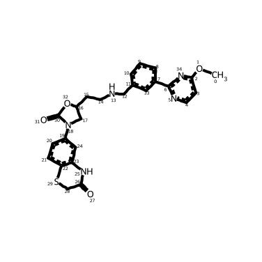 COc1ccnc(-c2cccc(CNCCC3CN(c4ccc5c(c4)NC(=O)CS5)C(=O)O3)c2)n1